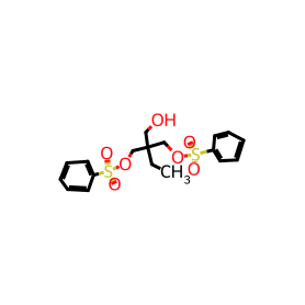 CCC(CO)(COS(=O)(=O)c1ccccc1)COS(=O)(=O)c1ccccc1